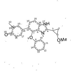 COC1CC1c1nc2c(Oc3ccccc3)c(-c3ccc(=O)n(C)c3)ccc2[nH]1